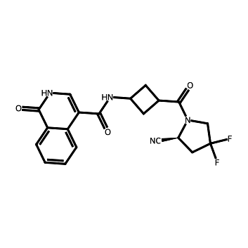 N#C[C@@H]1CC(F)(F)CN1C(=O)C1CC(NC(=O)c2c[nH]c(=O)c3ccccc23)C1